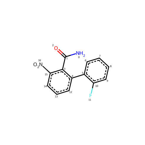 NC(=O)c1c(-c2ccccc2F)cccc1[N+](=O)[O-]